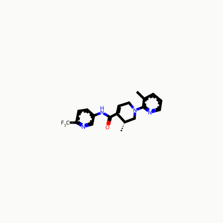 Cc1cccnc1N1CC=C(C(=O)Nc2ccc(C(F)(F)F)nc2)[C@@H](C)C1